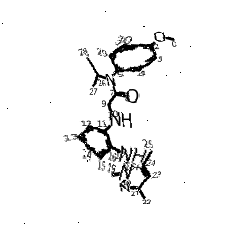 COc1ccc(N(C(=O)CNc2ccccc2N[N+]2(C)N=C(C)C=C2C)C(C)C)cc1